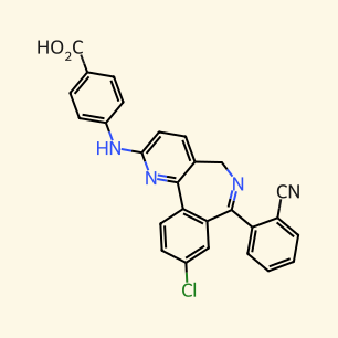 N#Cc1ccccc1C1=NCc2ccc(Nc3ccc(C(=O)O)cc3)nc2-c2ccc(Cl)cc21